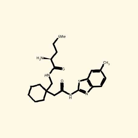 CSCC[C@H](N)C(=O)NCC1(CC(=O)Nc2nc3ccc(C)cc3s2)CCCCC1